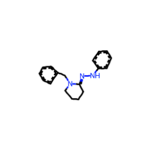 c1ccc(CN2CCCCC2=NNc2ccccc2)cc1